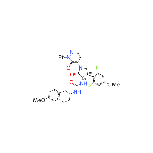 CCn1nccc(N2C[C@@H](c3c(F)cc(OC)cc3F)[C@H](NC(=O)NC3CCc4cc(OC)ccc4C3)C2=O)c1=O